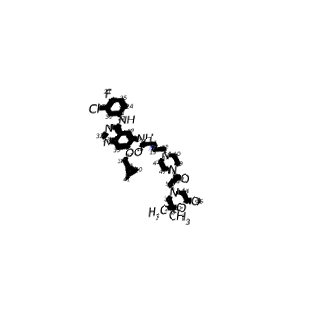 CC1(C)CN(CC(=O)N2CCN(C/C=C/C(=O)Nc3cc4c(Nc5ccc(F)c(Cl)c5)ncnc4cc3OCC3CC3)CC2)CC(=O)O1